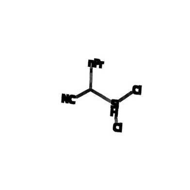 CCCC(C#N)[SiH](Cl)Cl